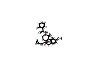 O=C(N[C@@H]1CC[C@@]2(O)[C@H]3Cc4ccc(O)c5c4[C@@]2(CCN3CC2CC2)[C@H]1O5)c1ccncc1F